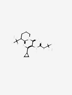 CC(C)(C)CC(=O)Nc1c(C2CC2)nc2n(c1=O)CCCC2C(F)(F)F